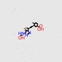 Cc1ccc(C(=O)O)cc1C#Cc1csc2c(NCCO)ncnc12